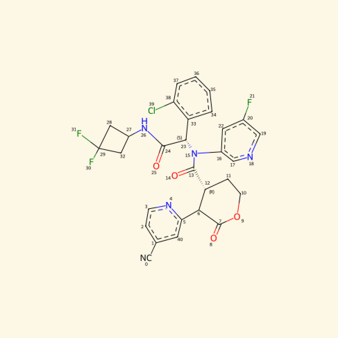 N#Cc1ccnc(C2C(=O)OCC[C@H]2C(=O)N(c2cncc(F)c2)[C@H](C(=O)NC2CC(F)(F)C2)c2ccccc2Cl)c1